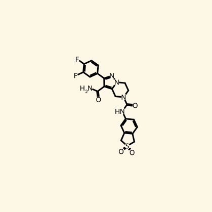 NC(=O)c1c(-c2ccc(F)c(F)c2)nn2c1CN(C(=O)Nc1ccc3c(c1)CS(=O)(=O)C3)CC2